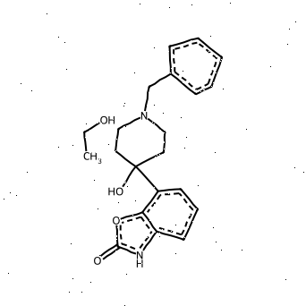 CCO.O=c1[nH]c2cccc(C3(O)CCN(Cc4ccccc4)CC3)c2o1